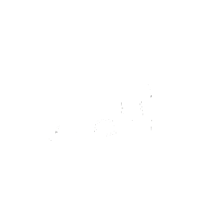 CC(C)CCc1cc(-c2ccc(CCOC(N)=O)cc2)ccc1C(=O)NS(C)(=O)=O